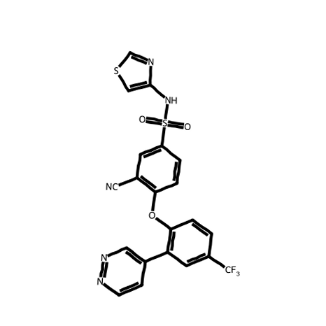 N#Cc1cc(S(=O)(=O)Nc2cscn2)ccc1Oc1ccc(C(F)(F)F)cc1-c1ccnnc1